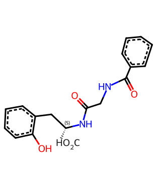 O=C(CNC(=O)c1ccccc1)N[C@@H](Cc1ccccc1O)C(=O)O